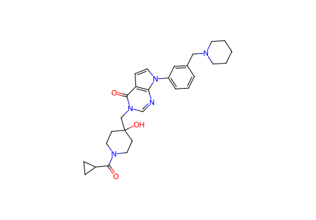 O=C(C1CC1)N1CCC(O)(Cn2cnc3c(ccn3-c3cccc(CN4CCCCC4)c3)c2=O)CC1